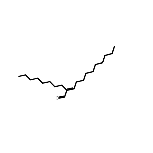 CCCCCCCCC/C=C(/C=O)CCCCCCCC